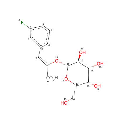 O=C(O)/C(=C/c1cccc(F)c1)O[C@H]1O[C@@H](CO)[C@@H](O)[C@@H](O)[C@@H]1O